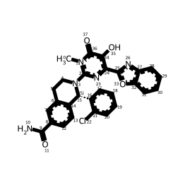 Cn1c(N2CCc3cc(C(N)=O)ccc3[C@H]2c2ccccc2Cl)nc(-c2nc3ccccc3o2)c(O)c1=O